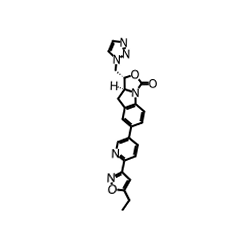 CCc1cc(-c2ccc(-c3ccc4c(c3)C[C@H]3[C@H](Cn5ccnn5)OC(=O)N43)cn2)no1